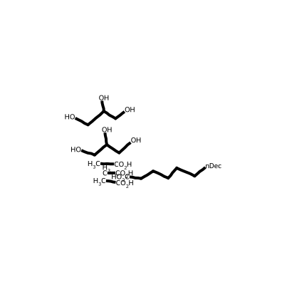 CC(=O)O.CC(=O)O.CC(=O)O.CCCCCCCCCCCCCCCC(=O)O.OCC(O)CO.OCC(O)CO